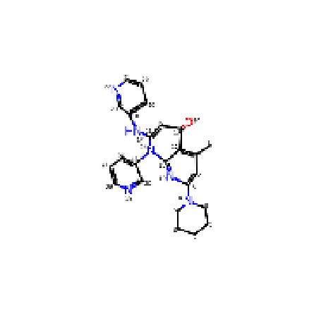 Cc1cc(N2CCCCC2)nc2c1c(=O)cc(Nc1cccnc1)n2-c1cccnc1